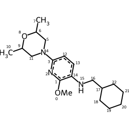 COc1nc(N2CC(C)OC(C)C2)ccc1NCC1CCCCC1